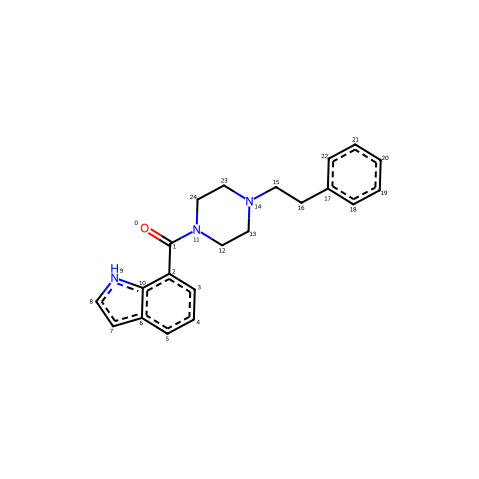 O=C(c1cccc2cc[nH]c12)N1CCN(CCc2ccccc2)CC1